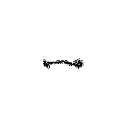 O=C(CCOCCOCCOCCOCCCCCOCCN1C(=O)C=CC1=O)Oc1c(F)c(F)c(F)c(F)c1F